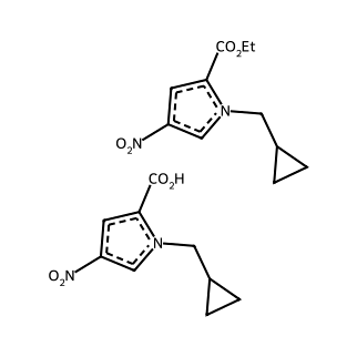 CCOC(=O)c1cc([N+](=O)[O-])cn1CC1CC1.O=C(O)c1cc([N+](=O)[O-])cn1CC1CC1